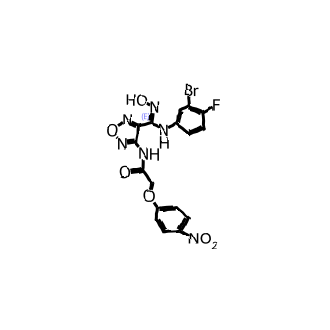 O=C(COc1ccc([N+](=O)[O-])cc1)Nc1nonc1/C(=N\O)Nc1ccc(F)c(Br)c1